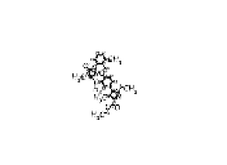 CCOC(=O)c1nn(CC)c(-c2ccc(OCc3c(C)cccc3-n3nnn(C)c3=O)c(C)c2)c1C